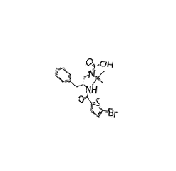 CC(C)(C)N(C[C@@H](Cc1ccccc1)NC(=O)c1ccc(Br)s1)C(=O)O